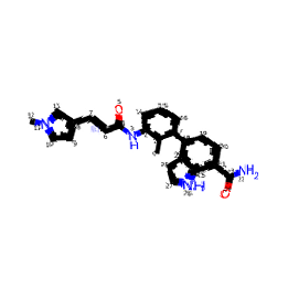 Cc1c(NC(=O)/C=C/c2ccn(C)c2)cccc1-c1ccc(C(N)=O)c2[nH]ccc12